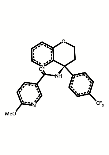 COc1ccc(C(=O)N[C@]2(c3ccc(C(F)(F)F)cc3)CCOc3cccnc32)cn1